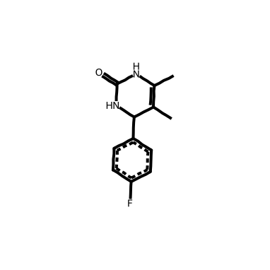 CC1=C(C)C(c2ccc(F)cc2)NC(=O)N1